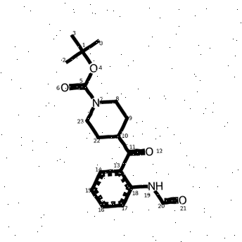 CC(C)(C)OC(=O)N1CCC(C(=O)c2ccccc2NC=O)CC1